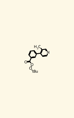 Cc1cnccc1-c1cccc(C(=O)OOC(C)(C)C)c1